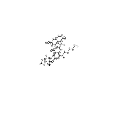 [2H]C([2H])(Oc1nc(C(C)CCCCCC)c2ccn(-c3cc(O)cc4ccc(F)c(CC)c34)c(=O)c2n1)[C@@H]1CCCN1C